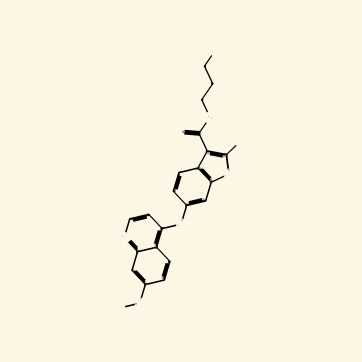 CCCCNC(=O)c1c(C)oc2cc(Oc3ccnc4cc(OC)ccc34)ccc12